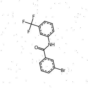 O=C(Nc1cccc(C(F)(F)F)c1)c1cccc(Br)c1